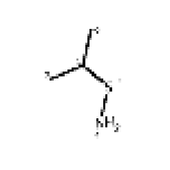 CC(C)SN